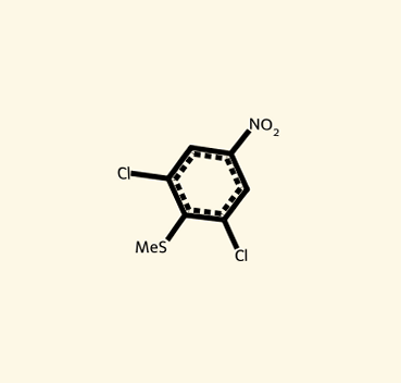 CSc1c(Cl)cc([N+](=O)[O-])cc1Cl